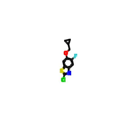 Fc1cc2nc(Cl)sc2cc1OCC1CC1